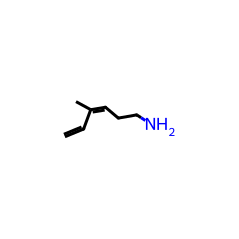 C=C/C(C)=C\CCN